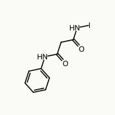 O=C(CC(=O)Nc1ccccc1)NI